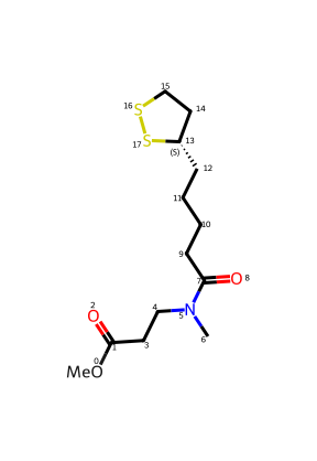 COC(=O)CCN(C)C(=O)CCCC[C@H]1CCSS1